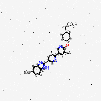 Cc1cc(-c2ccc(-c3nc4cc(C(C)(C)C)ccc4[nH]3)cn2)cnc1O[C@H]1CC[C@H](CC(=O)O)CC1